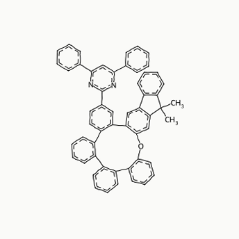 CC1(C)c2ccccc2-c2cc3c(cc21)Oc1ccccc1-c1ccccc1-c1ccccc1-c1ccc(-c2nc(-c4ccccc4)cc(-c4ccccc4)n2)cc1-3